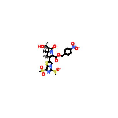 C[C@@H](O)[C@H]1C(=O)N2C(C(=O)OCc3ccc([N+](=O)[O-])cc3)=C(c3cn4c([S+](C)[O-])nc(S(C)(=O)=O)c4s3)[C@H](C)[C@H]12